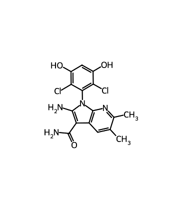 Cc1cc2c(C(N)=O)c(N)n(-c3c(Cl)c(O)cc(O)c3Cl)c2nc1C